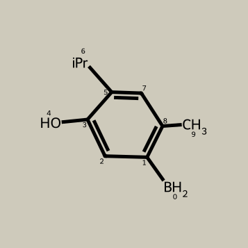 Bc1cc(O)c(C(C)C)cc1C